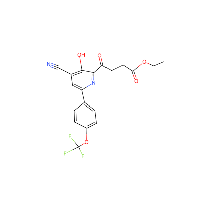 CCOC(=O)CCC(=O)c1nc(-c2ccc(OC(F)(F)F)cc2)cc(C#N)c1O